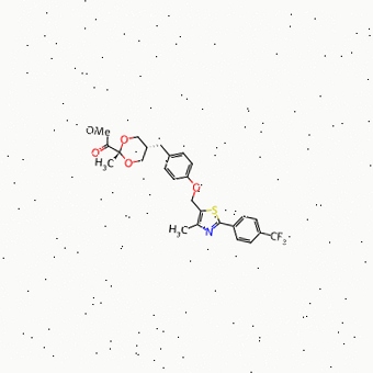 COC(=O)[C@]1(C)OC[C@H](Cc2ccc(OCc3sc(-c4ccc(C(F)(F)F)cc4)nc3C)cc2)CO1